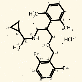 Cc1cccc(C)c1C(CNC(C)C1CC1)COCc1c(F)cccc1F.Cl